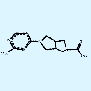 Cc1ncnc(N2CC3CN(C(=O)O)CC3C2)n1